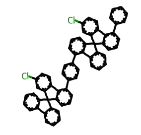 Clc1ccc2c(c1)C1(c3ccccc3-c3ccccc31)c1cccc(-c3ccc(-c4cccc5c4-c4ccccc4C54c5cc(Cl)ccc5-c5c(-c6ccccc6)cccc54)cc3)c1-2